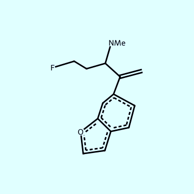 C=C(c1ccc2ccoc2c1)C(CCF)NC